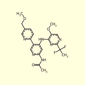 COCc1ccc(-c2cnc(NC(C)=O)cc2Nc2nc(C(C)(F)F)ncc2OC)nc1